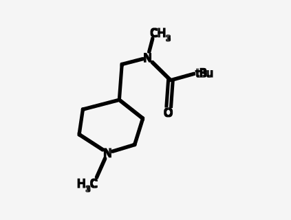 CN1CCC(CN(C)C(=O)C(C)(C)C)CC1